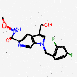 CONC(=O)c1cc2c(CO)cn(Cc3ccc(F)cc3F)c2cn1